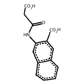 O=C(O)CC(=O)Nc1cc2ccccc2cc1C(=O)O